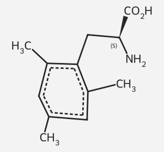 Cc1cc(C)c(C[C@H](N)C(=O)O)c(C)c1